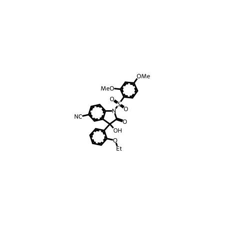 CCOc1ccccc1C1(O)C(=O)N(S(=O)(=O)c2ccc(OC)cc2OC)c2ccc(C#N)cc21